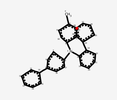 Cc1ccc(N(c2ccc(-c3ccccc3)cc2)c2ccccc2-c2ccccc2)cc1